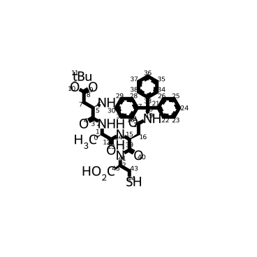 C[C@H](NC(=O)[C@@H](N)CC(=O)OC(C)(C)C)C(=O)N[C@@H](CC(=O)NC(c1ccccc1)(c1ccccc1)c1ccccc1)C(=O)N[C@@H](CS)C(=O)O